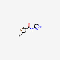 CCCc1cc(C(=O)Nc2cc[nH]n2)cs1